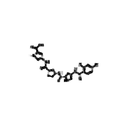 Cn1cc(NC(=O)c2cc(NC(=O)c3cc(NC(=O)c4ccc(Cl)cc4F)c[nH]3)cs2)cc1C(=O)O